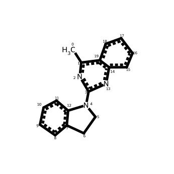 Cc1nc(N2CCc3ccccc32)nc2ccccc12